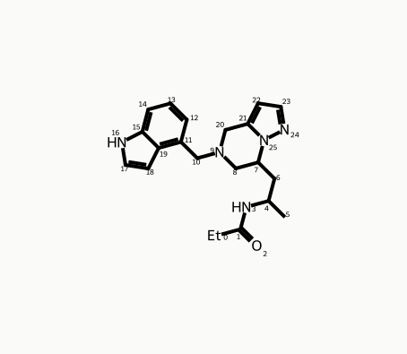 CCC(=O)NC(C)CC1CN(Cc2cccc3[nH]ccc23)Cc2ccnn21